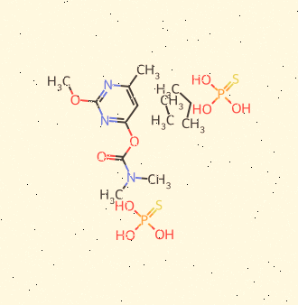 CC.CCC.COc1nc(C)cc(OC(=O)N(C)C)n1.OP(O)(O)=S.OP(O)(O)=S